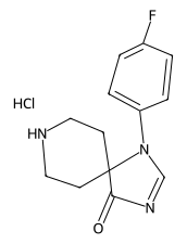 Cl.O=C1N=CN(c2ccc(F)cc2)C12CCNCC2